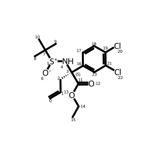 C=CC[C@@](N[S+]([O-])C(C)(C)C)(C(=O)OCC)c1ccc(Cl)c(Cl)c1